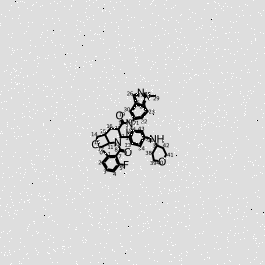 Cc1cccc(F)c1C(=O)N1C2COCC2CC(C(=O)Nc2ccc3c(cnn3C)c2)C1c1ccc(NC2CCOCC2)cc1